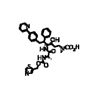 C[C@H](NC(=O)OCc1cncs1)C(=O)N[C@@H](C(Cc1ccc(-c2ccccn2)cc1)c1ccccc1)[C@@H](O)CCN(C)C(=O)O